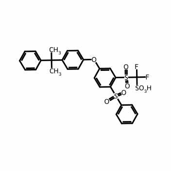 CC(C)(c1ccccc1)c1ccc(Oc2ccc(S(=O)(=O)c3ccccc3)c(S(=O)(=O)C(F)(F)S(=O)(=O)O)c2)cc1